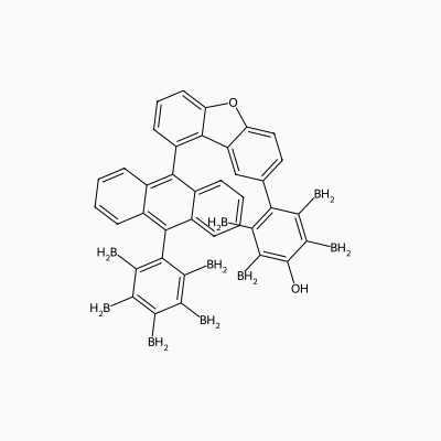 Bc1c(B)c(B)c(-c2c3ccccc3c(-c3cccc4oc5ccc(-c6c(B)c(B)c(O)c(B)c6B)cc5c34)c3ccccc23)c(B)c1B